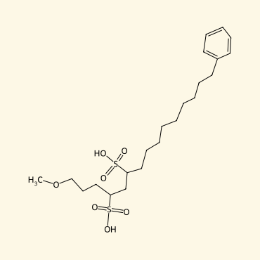 COCCCC(CC(CCCCCCCCCc1ccccc1)S(=O)(=O)O)S(=O)(=O)O